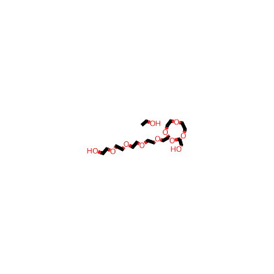 CCO.OCCOCCOCCOCCOCC1OCCOCCOC(CO)O1